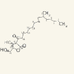 CCCCCC(C)CCCCCCCCC(=O)C1=C(O)C(CO)OC1=O